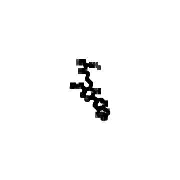 CNC(=O)C(CCCNC(=N)N)NC(=O)c1cnc(SCl)c([N+](=O)[O-])c1